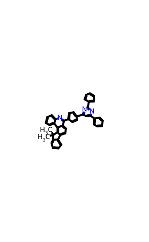 CC1(C)c2ccccc2-c2ccc3c(-c4ccc(-c5cc(-c6ccccc6)nc(-c6ccccc6)n5)cc4)nc4ccccc4c3c21